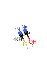 N#CO.N#CS.[KH]